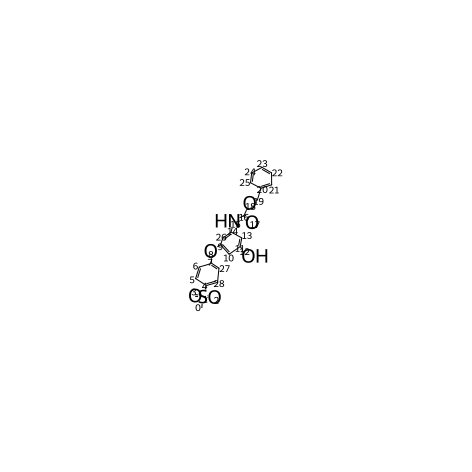 CS(=O)(=O)c1ccc(Oc2cc(O)cc(NC(=O)OCc3ccccc3)c2)cc1